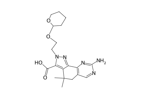 CC1(C)Cc2cnc(N)nc2-c2nn(CCOC3CCCCO3)c(C(=O)O)c21